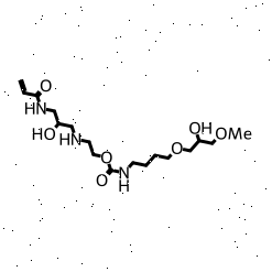 C=CC(=O)NCC(O)CNCCOC(=O)NCCCCOCC(O)COC